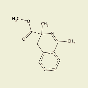 [CH2]C1=NC(C)(C(=O)OC)Cc2ccccc21